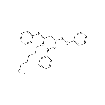 CCCCCCO/C(CC(SSc1ccccc1)SSc1ccccc1)=N\c1ccccc1